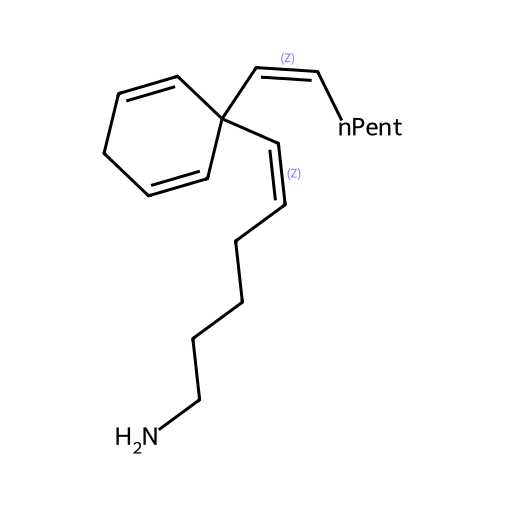 CCCCC/C=C\C1(/C=C\CCCCN)C=CCC=C1